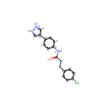 O=C(CCc1ccc(Cl)cc1)Nc1ccc(-c2cn[nH]c2)cc1